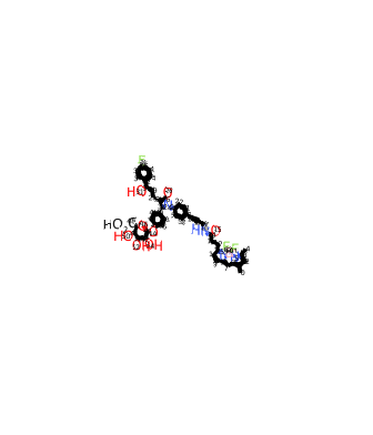 Cc1cc(C)n2c1C=C1C=CC(CCC(=O)NCC#Cc3ccc(N4C(=O)[C@H](CC[C@H](O)c5ccc(F)cc5)[C@H]4c4ccc(O[C@@H]5O[C@H](C(=O)O)[C@@H](O)[C@H](O)[C@H]5O)cc4)cc3)=[N+]1[B-]2(F)F